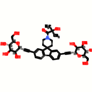 CC(C)(O)C(=O)N1CCC2(CC1)c1cc(C#C[C@H]3O[C@H](CO)[C@@H](O)[C@H](O)[C@@H]3O)ccc1-c1ccc(C#C[C@H]3O[C@H](CO)[C@@H](O)[C@H](O)[C@@H]3O)cc12